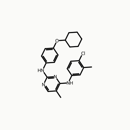 Cc1cc(Nc2nc(Nc3ccc(OC4CCCCC4)cc3)ncc2C)ccc1Cl